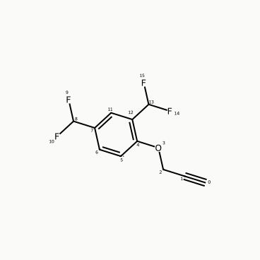 C#CCOc1[c]cc(C(F)F)cc1C(F)F